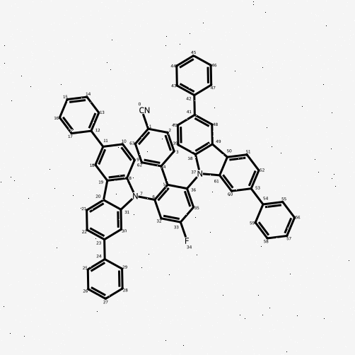 N#Cc1ccc(-c2c(-n3c4ccc(-c5ccccc5)cc4c4ccc(-c5ccccc5)cc43)cc(F)cc2-n2c3ccc(-c4ccccc4)cc3c3ccc(-c4ccccc4)cc32)cc1